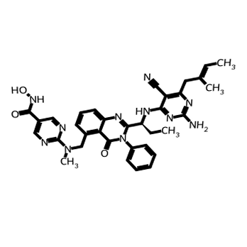 C/C=C(\C)Cc1nc(N)nc(N[C@@H](CC)c2nc3cccc(CN(C)c4ncc(C(=O)NO)cn4)c3c(=O)n2-c2ccccc2)c1C#N